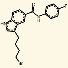 O=C(Nc1ccc(F)cc1)c1ccc2[nH]cc(CCCCBr)c2c1